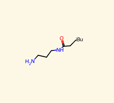 CCC(C)CC(=O)NCCCN